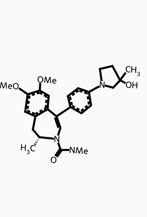 CNC(=O)N1C=C(c2ccc(N3CCC(C)(O)C3)cc2)c2cc(OC)c(OC)cc2C[C@H]1C